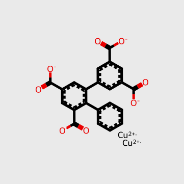 O=C([O-])c1cc(C(=O)[O-])cc(-c2cc(C(=O)[O-])cc(C(=O)[O-])c2-c2ccccc2)c1.[Cu+2].[Cu+2]